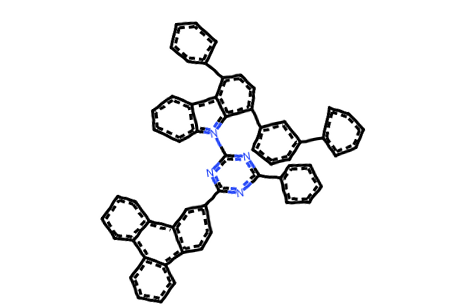 c1ccc(-c2cccc(-c3ccc(-c4ccccc4)c4c5ccccc5n(-c5nc(-c6ccccc6)nc(-c6ccc7c8ccccc8c8ccccc8c7c6)n5)c34)c2)cc1